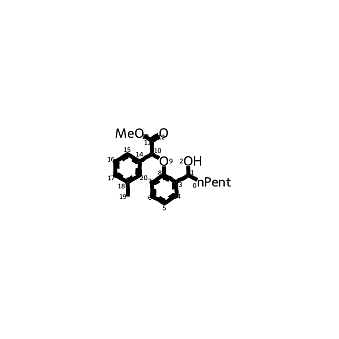 CCCCCC(O)c1ccccc1OC(C(=O)OC)c1cccc(C)c1